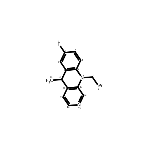 CC(C)CN1c2ccc(F)cc2C(C(F)(F)F)c2ccncc21